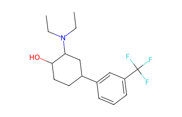 CCN(CC)C1CC(c2cccc(C(F)(F)F)c2)CCC1O